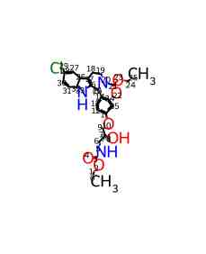 CCOC(=O)NC[C@@H](O)COc1ccc([C@H]2C3=C(CCN2C(=O)OCC)C2C=C(Cl)C=CC2N3)cc1